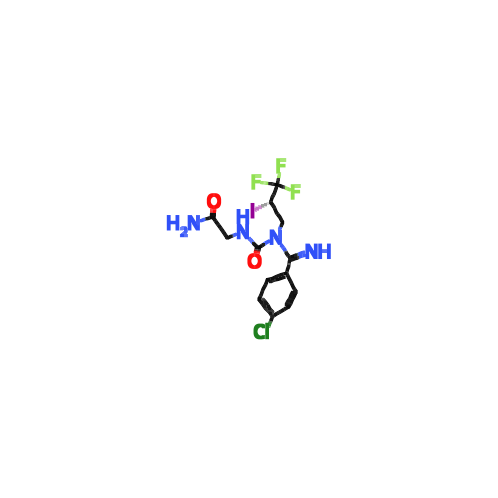 N=C(c1ccc(Cl)cc1)N(C[C@H](I)C(F)(F)F)C(=O)NCC(N)=O